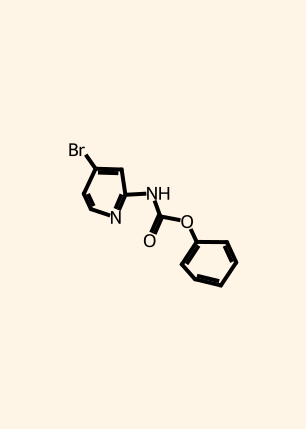 O=C(Nc1cc(Br)ccn1)Oc1ccccc1